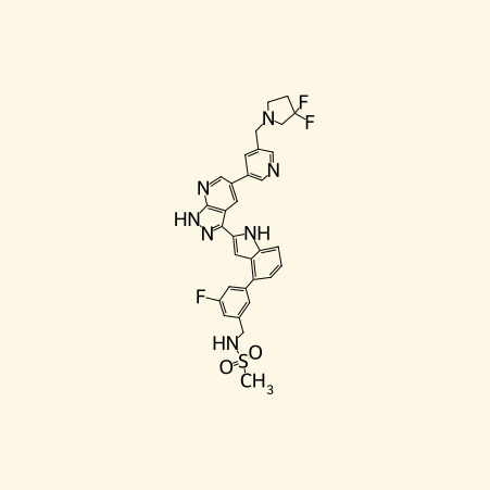 CS(=O)(=O)NCc1cc(F)cc(-c2cccc3[nH]c(-c4n[nH]c5ncc(-c6cncc(CN7CCC(F)(F)C7)c6)cc45)cc23)c1